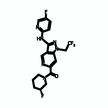 O=C(c1cc2c(cn1)c(Nc1ccc(F)cn1)nn2CC(F)(F)F)N1CCC[C@H](F)C1